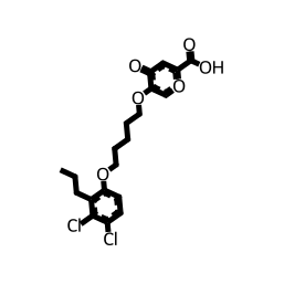 CCCc1c(OCCCCCOc2coc(C(=O)O)cc2=O)ccc(Cl)c1Cl